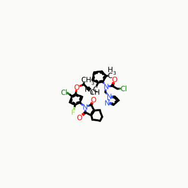 C#CC(C)Oc1cc(N2C(=O)C3=C(CCCC3)C2=O)c(F)cc1Cl.Cc1cccc(C)c1N(Cn1cccn1)C(=O)CCl